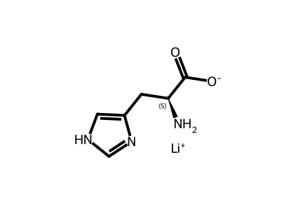 N[C@@H](Cc1c[nH]cn1)C(=O)[O-].[Li+]